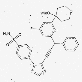 COC1(c2cc(F)cc(C(C#Cc3ncoc3-c3ccc(S(N)(=O)=O)cc3)c3ccccc3)c2)CCOCC1